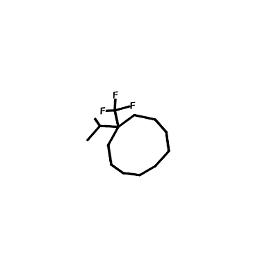 CC(C)C1(C(F)(F)F)CCCCCCCCC1